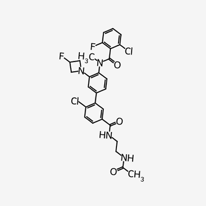 CC(=O)NCCNC(=O)c1ccc(Cl)c(-c2ccc(N(C)C(=O)c3c(F)cccc3Cl)c(N3CC(F)C3)c2)c1